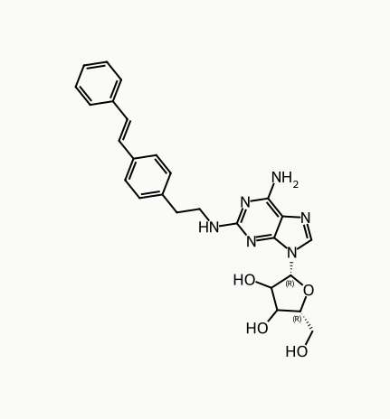 Nc1nc(NCCc2ccc(C=Cc3ccccc3)cc2)nc2c1ncn2[C@@H]1O[C@H](CO)C(O)C1O